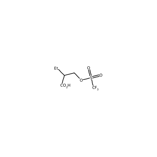 CCC(COS(=O)(=O)C(F)(F)F)C(=O)O